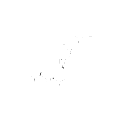 CC(C)C(=O)O[C@@H](OC(=O)NC[C@H](F)CS(=O)O)C(C)C